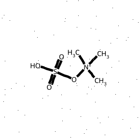 C[N+](C)(C)OS(=O)(=O)O